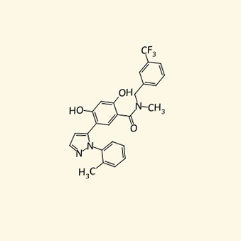 Cc1ccccc1-n1nccc1-c1cc(C(=O)N(C)Cc2cccc(C(F)(F)F)c2)c(O)cc1O